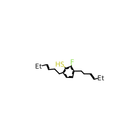 CC/C=C/CCc1ccc(CC/C=C/CC)c(S)c1F